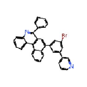 Brc1cc(-c2cccnc2)cc(-c2cc3c(-c4ccccc4)nc4ccccc4c3c3ccccc23)c1